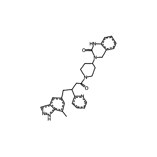 Cc1cc(CC(CC(=O)N2CCC(N3Cc4ccccc4NC3=O)CC2)c2ccccn2)cc2cn[nH]c12